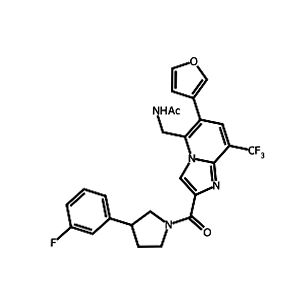 CC(=O)NCc1c(-c2ccoc2)cc(C(F)(F)F)c2nc(C(=O)N3CCC(c4cccc(F)c4)C3)cn12